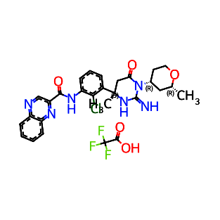 C[C@@H]1C[C@H](N2C(=N)N[C@](C)(c3cccc(NC(=O)c4cnc5ccccc5n4)c3Cl)CC2=O)CCO1.O=C(O)C(F)(F)F